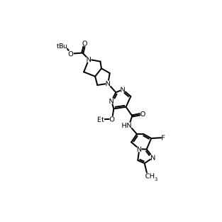 CCOc1nc(N2CC3CN(C(=O)OC(C)(C)C)CC3C2)ncc1C(=O)Nc1cc(F)c2nc(C)cn2c1